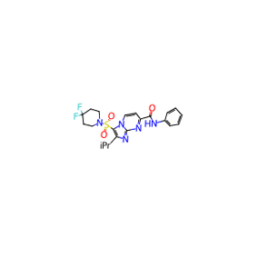 CC(C)c1nc2nc(C(=O)Nc3ccccc3)ccn2c1S(=O)(=O)N1CCC(F)(F)CC1